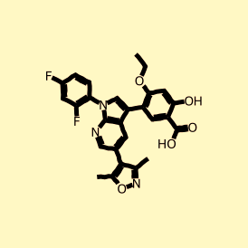 CCOc1cc(O)c(C(=O)O)cc1-c1cn(-c2ccc(F)cc2F)c2ncc(-c3c(C)noc3C)cc12